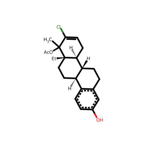 CC[C@]12CC[C@@H]3c4ccc(O)cc4CC[C@H]3[C@@H]1CC=C(Cl)C2(C)OC(C)=O